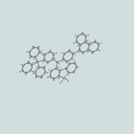 CC1(C)c2ccccc2-c2c(N(c3ccc(-c4cc5ccccc5c5ccccc45)cc3)c3ccc4c(c3)C(c3ccccc3)(c3ccccc3)c3ccccc3-4)cccc21